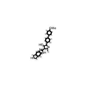 COc1ccc(-c2ccc(C3=NN(C)C(c4nc5cc6c(cc5[nH]4)CNC6)C3O)cc2)cc1